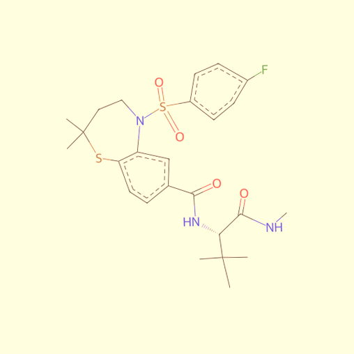 CNC(=O)[C@@H](NC(=O)c1ccc2c(c1)N(S(=O)(=O)c1ccc(F)cc1)CCC(C)(C)S2)C(C)(C)C